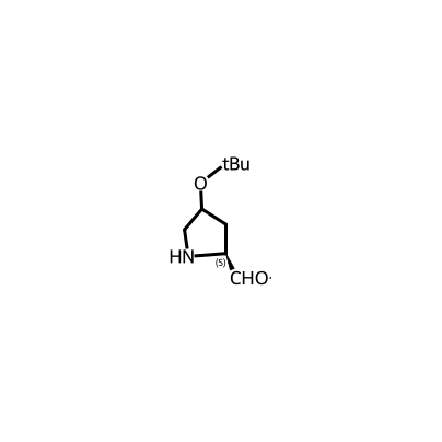 CC(C)(C)OC1CN[C@H]([C]=O)C1